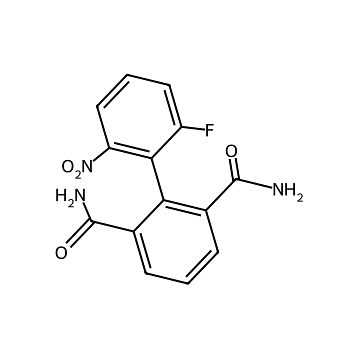 NC(=O)c1cccc(C(N)=O)c1-c1c(F)cccc1[N+](=O)[O-]